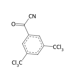 N#CC(=O)c1cc(C(Cl)(Cl)Cl)cc(C(Cl)(Cl)Cl)c1